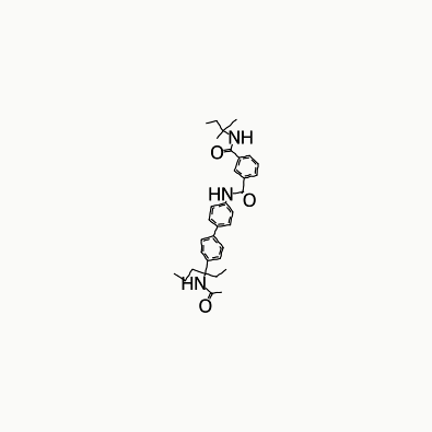 CCCC(CC)(NC(C)=O)c1ccc(-c2ccc(NC(=O)c3cccc(C(=O)NC(C)(C)CC)c3)cc2)cc1